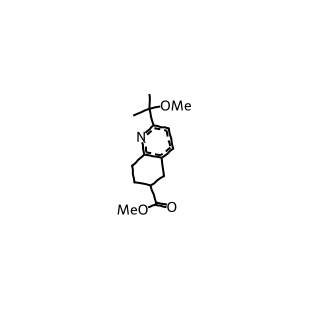 COC(=O)C1CCc2nc(C(C)(C)OC)ccc2C1